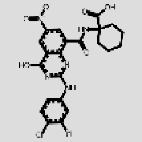 O=C(NC1(C(=O)O)CCCCC1)c1cc([N+](=O)[O-])cc2c(O)nc(Nc3ccc(Cl)c(Cl)c3)nc12